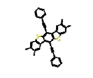 Cc1cc2sc3c(C#Cc4ccccc4)c4c(sc5cc(C)c(C)cc54)c(C#Cc4ccccc4)c3c2cc1C